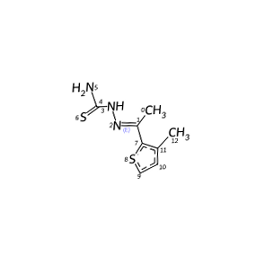 C/C(=N\NC(N)=S)c1sccc1C